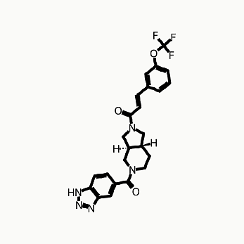 O=C(C=Cc1cccc(OC(F)(F)F)c1)N1C[C@@H]2CN(C(=O)c3ccc4[nH]nnc4c3)CC[C@H]2C1